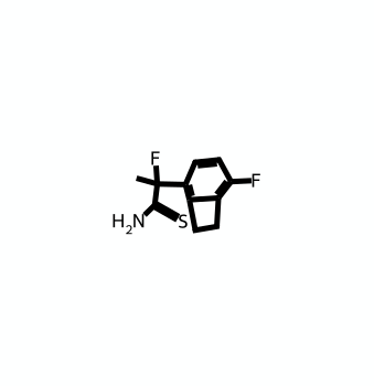 CC(F)(C(N)=S)c1ccc(F)c2c1CC2